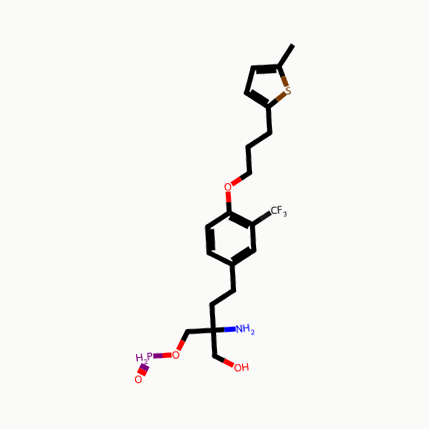 Cc1ccc(CCCOc2ccc(CCC(N)(CO)CO[PH2]=O)cc2C(F)(F)F)s1